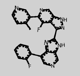 Cc1ccncc1-c1ncc2[nH]nc(-c3nc4c(-c5ccccc5F)cncc4[nH]3)c2c1F